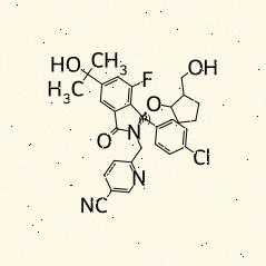 CC(C)(O)c1cc(F)c2c(c1)C(=O)N(Cc1ccc(C#N)cn1)[C@@]2(OC1CCCC1CO)c1ccc(Cl)cc1